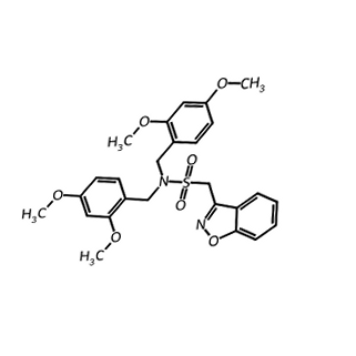 COc1ccc(CN(Cc2ccc(OC)cc2OC)S(=O)(=O)Cc2noc3ccccc23)c(OC)c1